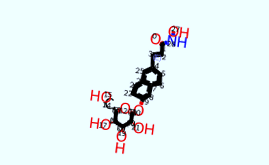 O=C(/C=C/c1ccc2cc(O[C@H]3O[C@H](CO)[C@@H](O)[C@H](O)[C@H]3O)ccc2c1)NO